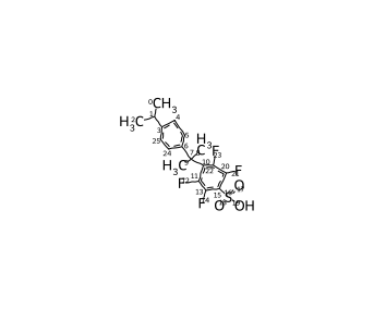 CC(C)c1ccc(C(C)(C)c2c(F)c(F)c(S(=O)(=O)O)c(F)c2F)cc1